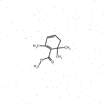 COC(=O)C1=C(C)C=CCC1(C)C